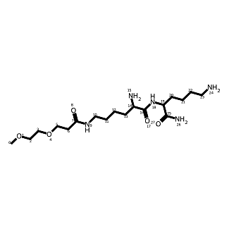 COCCOCCC(=O)NCCCCC(N)C(=O)NC(CCCCN)C(N)=O